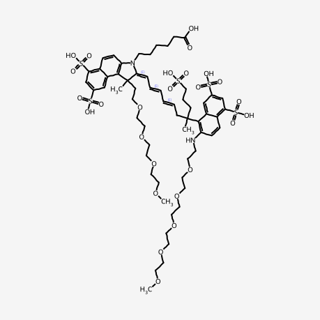 COCCOCCOCCOCCOCCNc1ccc2c(S(=O)(=O)O)cc(S(=O)(=O)O)cc2c1C(C)(C/C=C/C=C/C=C1/N(CCCCCC(=O)O)c2ccc3c(S(=O)(=O)O)cc(S(=O)(=O)O)cc3c2C1(C)CCOCCOCCOCCOC)CCCS(=O)(=O)O